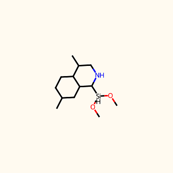 CO[SiH](OC)C1NCC(C)C2CCC(C)CC21